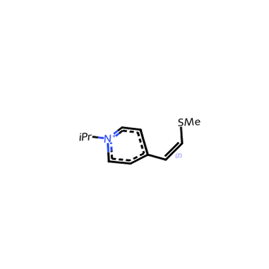 CS/C=C\c1cc[n+](C(C)C)cc1